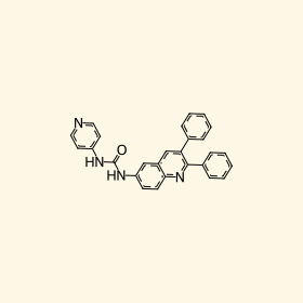 O=C(Nc1ccncc1)Nc1ccc2nc(-c3ccccc3)c(-c3ccccc3)cc2c1